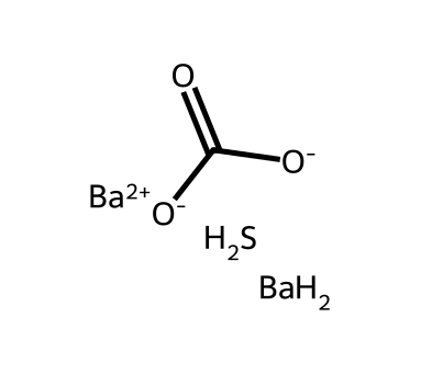 O=C([O-])[O-].S.[Ba+2].[BaH2]